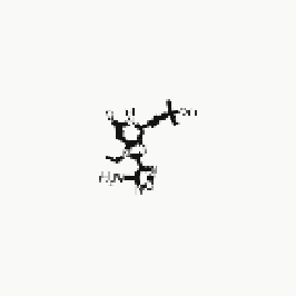 CCn1c(-c2nonc2N)nc2c(C#CC(C)(C)O)[nH]c(=O)cc21